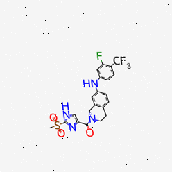 CS(=O)(=O)c1nc(C(=O)N2CCc3ccc(Nc4ccc(C(F)(F)F)c(F)c4)cc3C2)c[nH]1